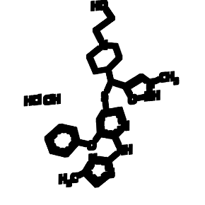 Cc1csc(Nc2ncc(SC(C3=CN(C)NO3)C3CCN(CCO)CC3)cc2Oc2ccccc2)n1.Cl.Cl